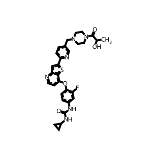 CC(O)C(=O)N1CCN(Cc2ccc(-c3cc4nccc(Oc5ccc(NC(=O)NC6CC6)cc5F)c4s3)nc2)CC1